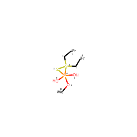 CC(C)CS1(CC(C)C)SP1(O)(O)[O][Mo]